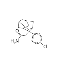 NC(=O)CC1(c2ccc(Cl)cc2)C2CC3CC(C2)CC1C3